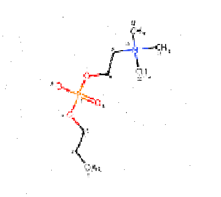 CC(=O)OCCOP(=O)([O-])OCC[N+](C)(C)C